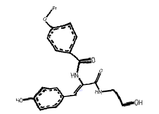 CC(C)Oc1ccc(C(=O)N/C(=C\c2ccc(O)cc2)C(=O)NCCO)cc1